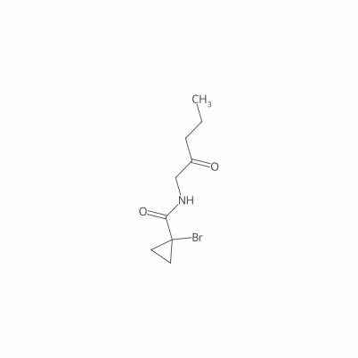 CCCC(=O)CNC(=O)C1(Br)CC1